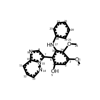 COc1cc(O)c(-c2cnc3cccnn23)c(Nc2ccccc2)c1OC